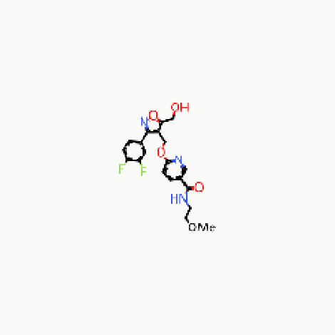 COCCNC(=O)c1ccc(OCc2c(-c3ccc(F)c(F)c3)noc2CO)nc1